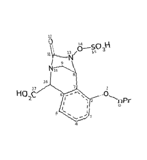 CCCOc1cccc2c1C1CN(C(=O)N1OS(=O)(=O)O)C2C(=O)O